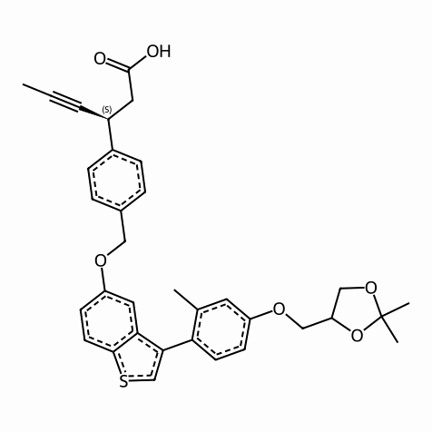 CC#C[C@@H](CC(=O)O)c1ccc(COc2ccc3scc(-c4ccc(OCC5COC(C)(C)O5)cc4C)c3c2)cc1